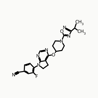 CC(C)c1noc(N2CCC(Oc3ncnc4c3CCN4c3ccc(C#N)cc3F)CC2)n1